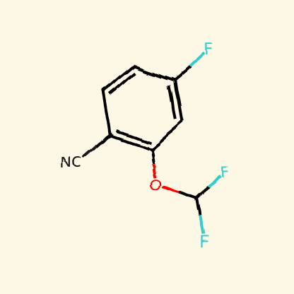 N#Cc1ccc(F)cc1OC(F)F